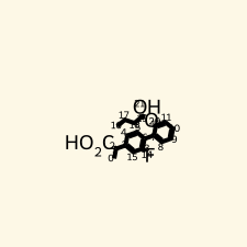 CC(C(=O)O)c1ccc(-c2ccccc2)c(F)c1.CCCC(=O)O